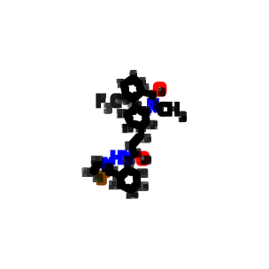 CN(C(=O)c1cccc(C(F)(F)F)c1)c1cccc(/C=C/C(=O)Nc2ccccc2-c2nccs2)c1